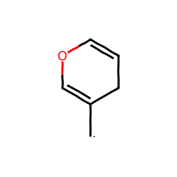 [CH2]C1=COC=CC1